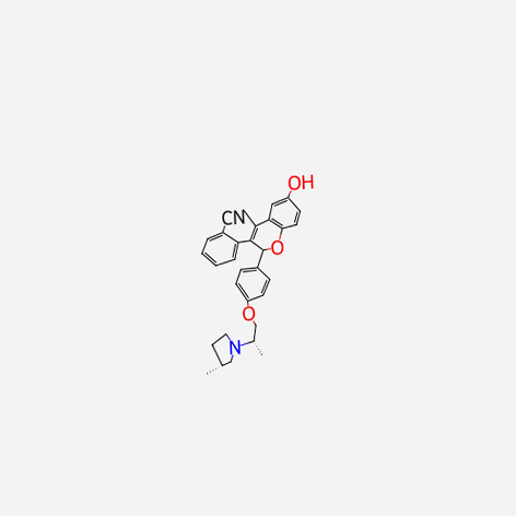 CC1=C(c2ccccc2C#N)C(c2ccc(OC[C@H](C)N3CC[C@@H](C)C3)cc2)Oc2ccc(O)cc21